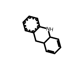 C1=CC2Cc3ccccc3NC2C=C1